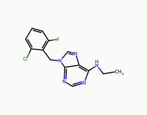 CCNc1ncnc2c1ncn2Cc1c(F)cccc1Cl